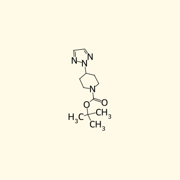 CC(C)(C)OC(=O)N1CCC(n2nccn2)CC1